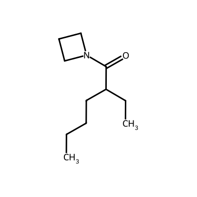 CCCCC(CC)C(=O)N1CCC1